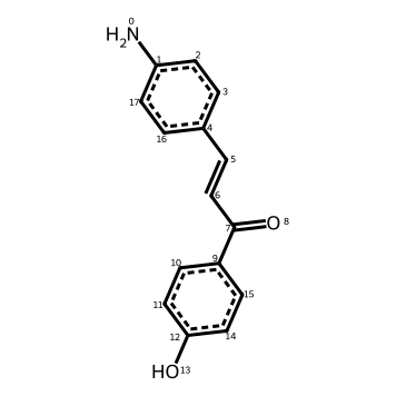 Nc1ccc(/C=C/C(=O)c2ccc(O)cc2)cc1